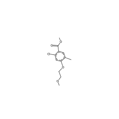 COCCOc1cc(Cl)c(C(=O)OC)cc1C